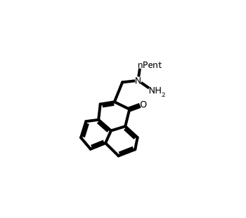 CCCCCN(N)CC1=Cc2cccc3cccc(c23)C1=O